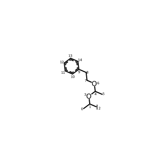 CC(I)OC(C)OCCc1ccccc1